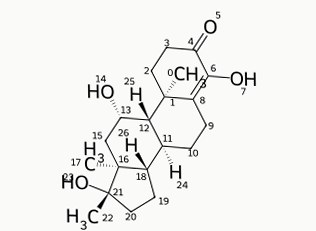 C[C@]12CCC(=O)C(O)=C1CC[C@@H]1[C@@H]2[C@@H](O)C[C@@]2(C)[C@H]1CC[C@]2(C)O